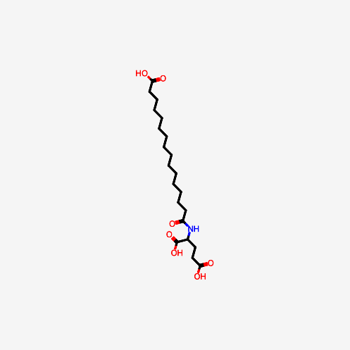 O=C(O)CCCCCCCCCCCCCCC(=O)NC(CCC(=O)O)C(=O)O